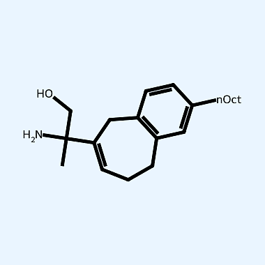 CCCCCCCCc1ccc2c(c1)CCC=C(C(C)(N)CO)C2